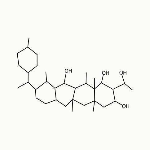 CC1CCC(C(C)C2CCC3CC4(C)CC5(C)CC(O)C(C(C)O)C(O)C5(C)C(C)C4C(O)C3C2C)CC1